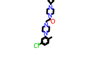 Cc1ccc(Cl)cc1N1CCN(CC(=O)N2CCN(C3CCC3)CC2)CC1